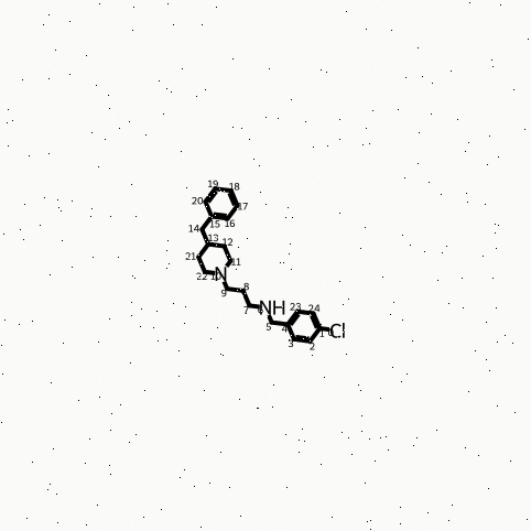 Clc1ccc(CNCCCN2CCC(Cc3ccccc3)CC2)cc1